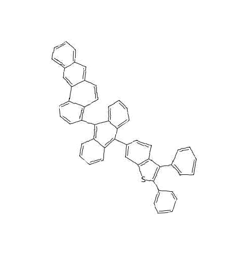 c1ccc(-c2sc3cc(-c4c5ccccc5c(-c5cccc6c5ccc5cc7ccccc7cc56)c5ccccc45)ccc3c2-c2ccccc2)cc1